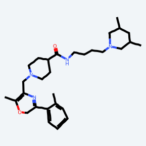 CC1=C(CN2CCC(C(=O)NCCCCN3CC(C)CC(C)C3)CC2)N=C(c2ccccc2C)CO1